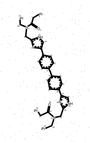 CC(C)CC(=O)N(Cc1nc(-c2ccc(-c3ccc(-c4c[nH]c(CN(CC(C)C)C(=O)CC(C)C)n4)cc3)cc2)c[nH]1)CC(C)C